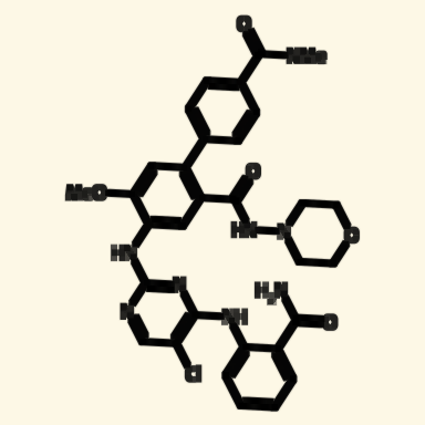 CNC(=O)c1ccc(-c2cc(OC)c(Nc3ncc(Cl)c(Nc4ccccc4C(N)=O)n3)cc2C(=O)NN2CCOCC2)cc1